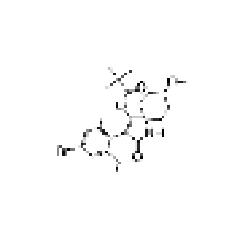 CCc1cc(Br)cc(C)c1C1=C(OC(=O)C(C)(C)C)C2(CCC(OC)CC2)NC1=O